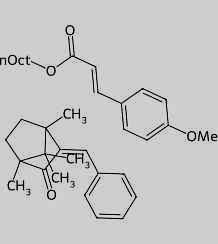 CC12CCC(C)(C(=Cc3ccccc3)C1=O)C2(C)C.CCCCCCCCOC(=O)C=Cc1ccc(OC)cc1